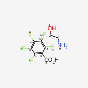 NCCO.O=C(O)c1c(F)c(F)c(F)c(F)c1F